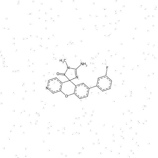 CN1C(=O)C2(N=C1N)c1ccncc1Oc1ccc(-c3cccc(F)c3)cc12